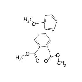 COC(=O)c1ccccc1C(=O)OC.COc1ccccc1